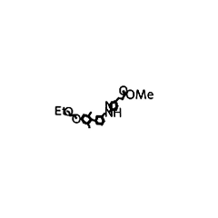 CCOCCOc1cc(C)c(-c2cccc(CNc3ccc(CCC(=O)OC)cn3)c2)c(C)c1